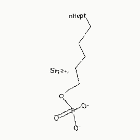 CCCCCCCCCCCCOP(=O)([O-])[O-].[Sn+2]